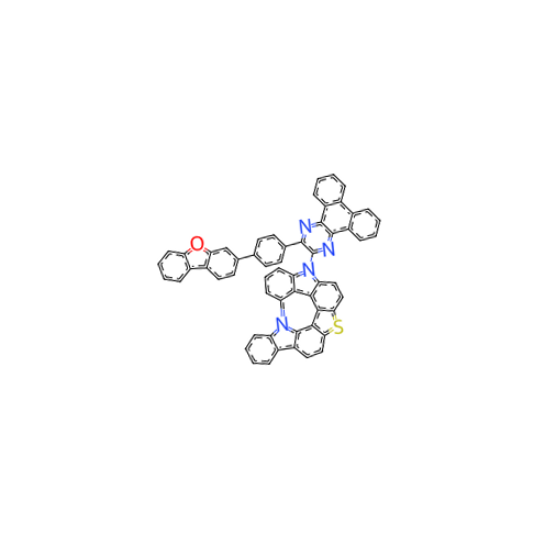 c1ccc2c(c1)oc1cc(-c3ccc(-c4nc5c6ccccc6c6ccccc6c5nc4-n4c5ccc6sc7ccc8c9ccccc9n9c%10cccc4c%10c5c6c7c89)cc3)ccc12